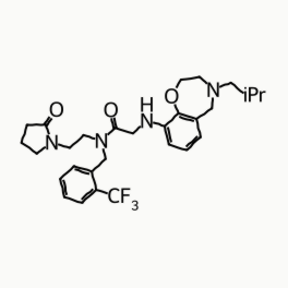 CC(C)CN1CCOc2c(cccc2NCC(=O)N(CCN2CCCC2=O)Cc2ccccc2C(F)(F)F)C1